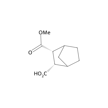 COC(=O)[C@@H]1C2CCC(C2)[C@@H]1C(=O)O